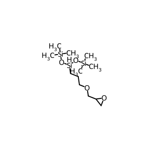 C[Si](C)(C)O[SiH](CCCOCC1CO1)O[Si](C)(C)C